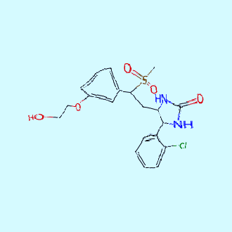 CS(=O)(=O)C(CC1NC(=O)NC1c1ccccc1Cl)c1cccc(OCCO)c1